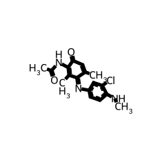 CNc1ccc(N=C2C(C)=CC(=O)C(NC(C)=O)=C2C)cc1Cl